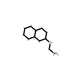 NCOC1CCC2CCCCC2C1